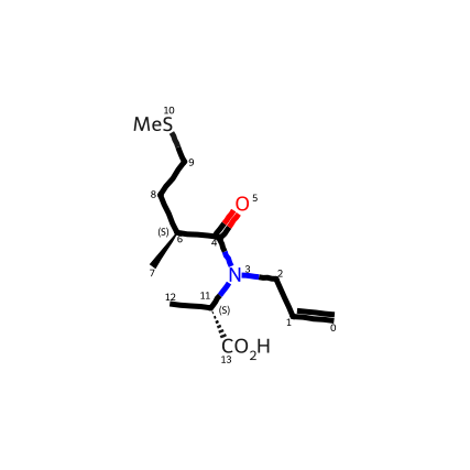 C=CCN(C(=O)[C@@H](C)CCSC)[C@@H](C)C(=O)O